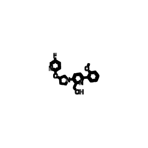 COc1ccccc1-c1ccc(N2CCC(Oc3ccc(F)cn3)C2)c(CO)n1